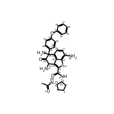 CC(=O)N[C@H]1CCC[C@H]1NC(=O)c1sc2c(N)ccc3c2c1C(N)C(=O)C3(N)c1ccc(Oc2ccccc2)cc1